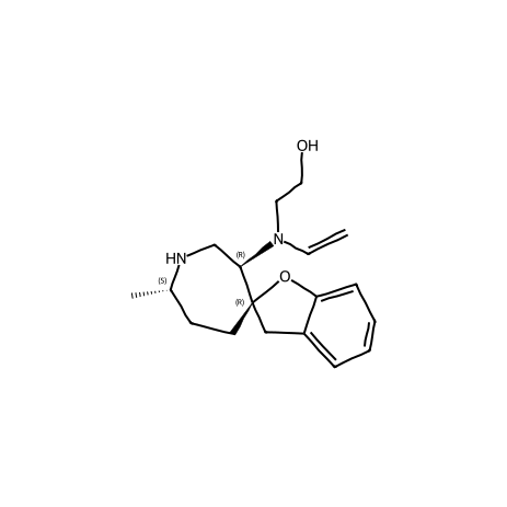 C=CN(CCO)[C@@H]1CN[C@@H](C)CC[C@@]12Cc1ccccc1O2